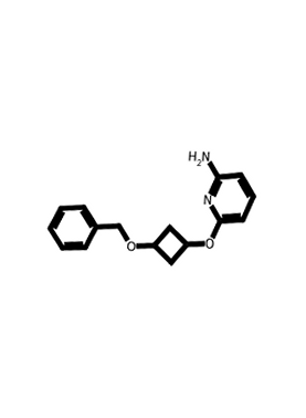 Nc1cccc(OC2CC(OCc3ccccc3)C2)n1